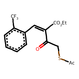 CCOC(=O)/C(=C/c1ccccc1C(F)(F)F)C(=O)CSC(C)=O